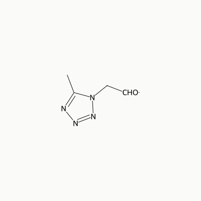 Cc1nnnn1C[C]=O